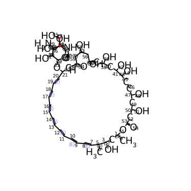 C[C@H]1C[C@H](O)[C@@H](C)/C=C/C=C/C=C/C=C/C=C/C=C/C=C/C(O[C@@H]2OC[C@@H](O)[C@H](N)[C@@H]2O)C[C@@H]2OC(O)(CC(O)CC(O)C(O)CCC(O)CC(O)CC(=O)O1)C[C@H](O)[C@H]2C(=O)NC(CO)CO